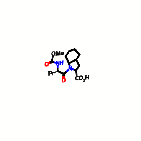 COC(=O)N[C@H](C(=O)N1C(C(=O)O)CC2CCCCC21)C(C)C